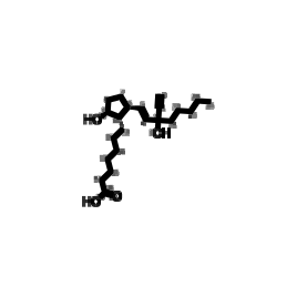 C#CC(O)(C=C[C@@H]1CC[C@H](O)[C@H]1CCCCCCC(=O)O)CCCCC